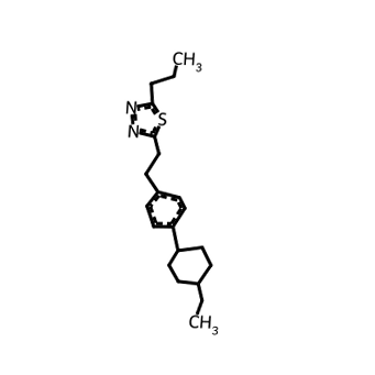 CCCc1nnc(CCc2ccc(C3CCC(CC)CC3)cc2)s1